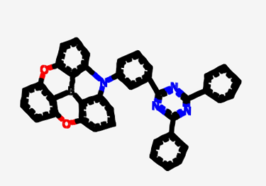 c1ccc(-c2nc(-c3ccccc3)nc(-c3cccc(N4c5cccc6c5B5c7c(cccc7Oc7cccc4c75)O6)c3)n2)cc1